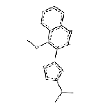 COc1c(-c2nc(C(C)C)cs2)[c]nc2ccccc12